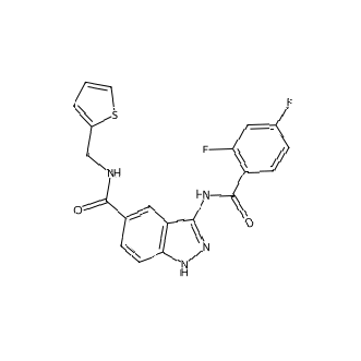 O=C(NCc1cccs1)c1ccc2[nH]nc(NC(=O)c3ccc(F)cc3F)c2c1